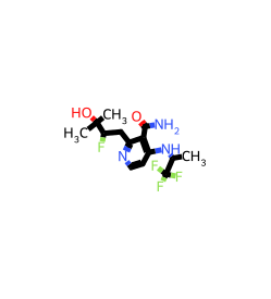 CC(Nc1ccnc(CC(F)C(C)(C)O)c1C(N)=O)C(F)(F)F